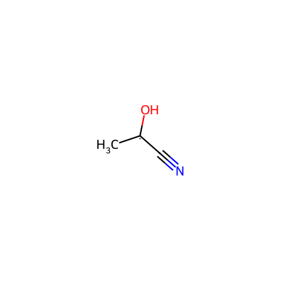 C[C](O)C#N